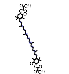 CC1=C(/C=C/C(C)=C/C=C/C(C)=C/C=C/C=C(C)/C=C/C=C(C)/C=C/C2=C(C)C(=O)C(OC(=O)C(=O)O)CC2(C)C)C(C)(C)CC(OC(=O)C(=O)O)C1=O